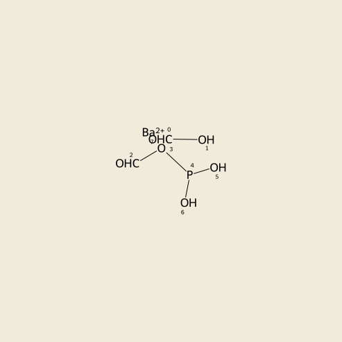 O=[C-]O.O=[C-]OP(O)O.[Ba+2]